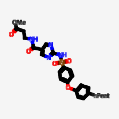 CCCCCc1ccc(Oc2ccc(S(=O)(=O)Nc3ncc(C(=O)NCCC(=O)OC)cn3)cc2)cc1